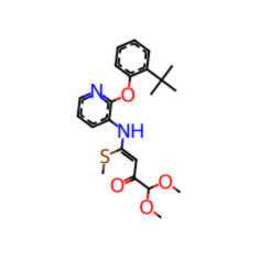 COC(OC)C(=O)C=C(Nc1cccnc1Oc1ccccc1C(C)(C)C)SC